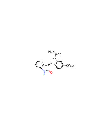 COc1ccc2c(c1)C(OC(C)=O)CC2=C1C(=O)Nc2ccccc21.[NaH]